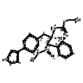 CCOC(=O)[C@](Cc1ccc(-c2ccsc2)cc1)(NC(=O)OC(C)(C)C)[C@@](C)(c1ccccc1)[PH](=O)OCC